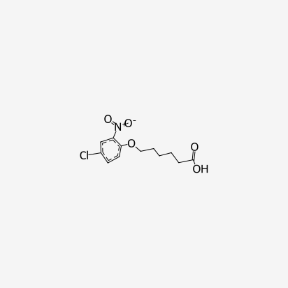 O=C(O)CCCCCOc1ccc(Cl)cc1[N+](=O)[O-]